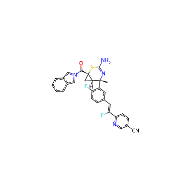 C[C@]1(c2cc(/C=C(\F)c3ccc(C#N)cn3)ccc2F)N=C(N)S[C@@]2(C(=O)n3cc4ccccc4c3)C[C@H]21